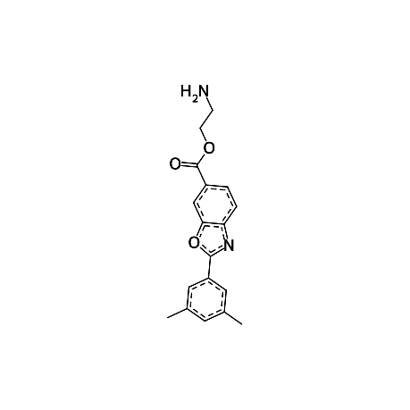 Cc1cc(C)cc(-c2nc3ccc(C(=O)OCCN)cc3o2)c1